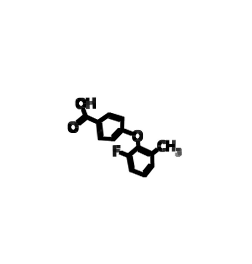 Cc1cccc(F)c1Oc1ccc(C(=O)O)cc1